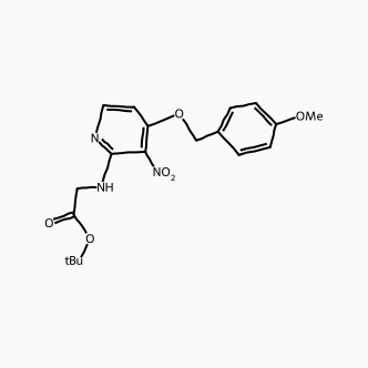 COc1ccc(COc2ccnc(NCC(=O)OC(C)(C)C)c2[N+](=O)[O-])cc1